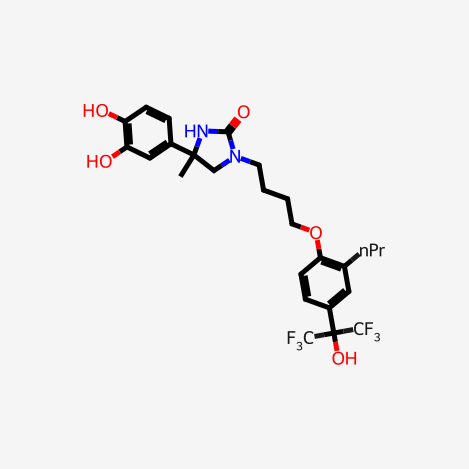 CCCc1cc(C(O)(C(F)(F)F)C(F)(F)F)ccc1OCCCCN1CC(C)(c2ccc(O)c(O)c2)NC1=O